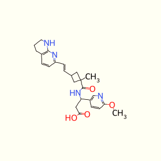 COc1ccc(C(CC(=O)O)NC(=O)C2(C)CC(/C=C/c3ccc4c(n3)NCCC4)C2)cn1